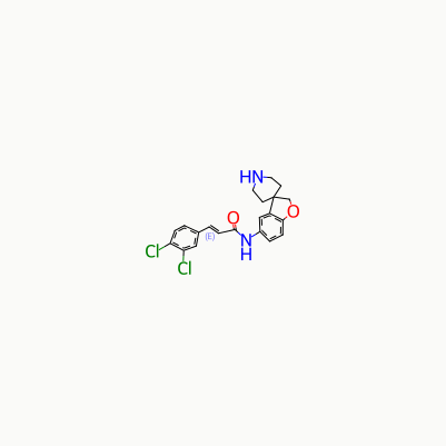 O=C(/C=C/c1ccc(Cl)c(Cl)c1)Nc1ccc2c(c1)C1(CCNCC1)CO2